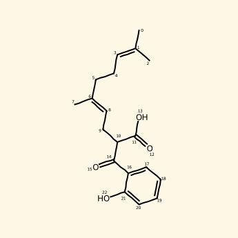 CC(C)=CCC/C(C)=C/CC(C(=O)O)C(=O)c1ccccc1O